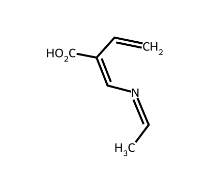 C=C/C(=C\N=C/C)C(=O)O